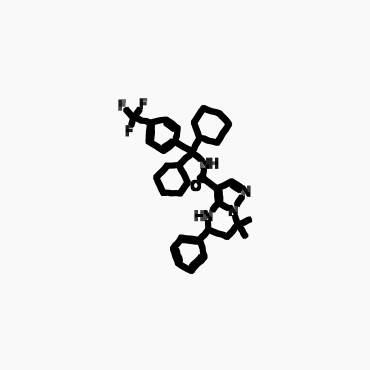 CC1(C)CC(c2ccccc2)Nc2c(C(=O)NC(c3ccc(C(F)(F)F)cc3)(C3CCCCC3)C3CCCCC3)cnn21